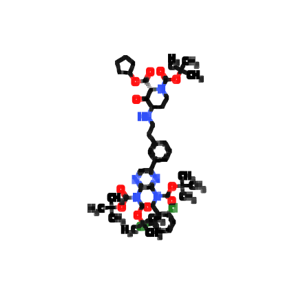 CC(C)(C)OC(=O)N(Cc1c(Cl)cccc1Cl)c1nc(-c2cccc(CCNC3CCN(C(=O)OC(C)(C)C)[C@@H](C(=O)OC4CCCC4)C3=O)c2)cnc1N(C(=O)OC(C)(C)C)C(=O)OC(C)(C)C